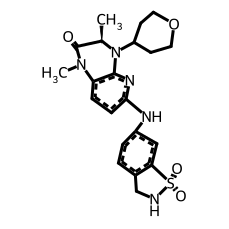 C[C@@H]1C(=O)N(C)c2ccc(Nc3ccc4c(c3)S(=O)(=O)NC4)nc2N1C1CCOCC1